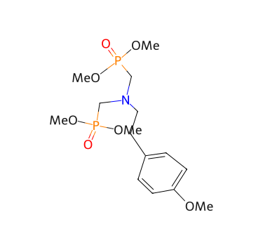 COc1ccc(CCN(CP(=O)(OC)OC)CP(=O)(OC)OC)cc1